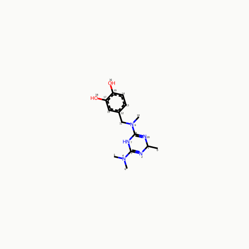 CC1N=C(N(C)C)NC(N(C)Cc2ccc(O)c(O)c2)=N1